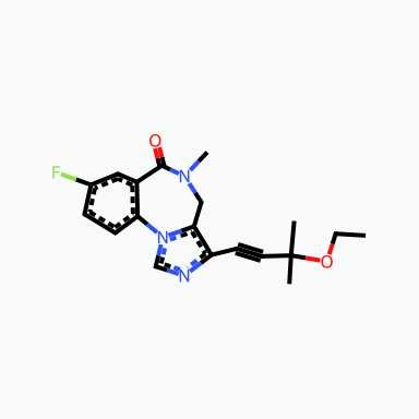 CCOC(C)(C)C#Cc1ncn2c1CN(C)C(=O)c1cc(F)ccc1-2